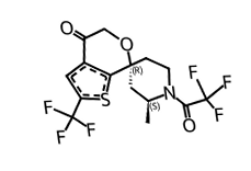 C[C@H]1C[C@@]2(CCN1C(=O)C(F)(F)F)OCC(=O)c1cc(C(F)(F)F)sc12